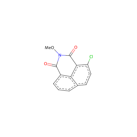 CON1C(=O)c2cccc3ccc(Cl)c(c23)C1=O